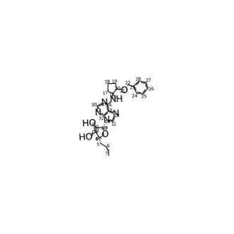 O[C@@H]1[C@H](O)[C@@H](CCI)O[C@H]1n1cnc2c(NC3CCCC3OCc3ccccc3)ncnc21